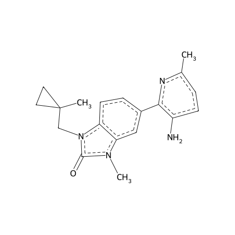 Cc1ccc(N)c(-c2ccc3c(c2)n(C)c(=O)n3CC2(C)CC2)n1